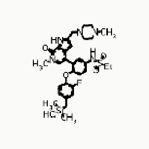 CCS(=O)(=O)Nc1ccc(Oc2ccc(C[Si](C)(C)O)cc2F)c(-c2cn(C)c(=O)c3[nH]c(CN4CCN(C)CC4)cc23)c1